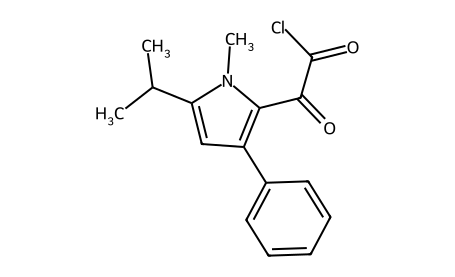 CC(C)c1cc(-c2ccccc2)c(C(=O)C(=O)Cl)n1C